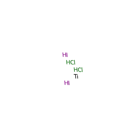 Cl.Cl.I.I.[Ti]